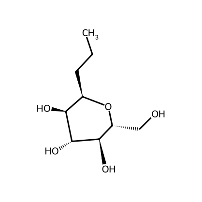 CCC[C@H]1O[C@H](CO)[C@@H](O)[C@H](O)[C@H]1O